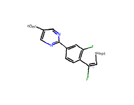 CCCCCCC/C=C(/F)c1ccc(-c2ncc(CCCCCCCCCC)cn2)cc1F